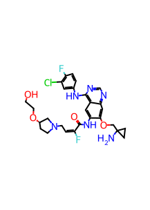 NC1(COc2cc3ncnc(Nc4ccc(F)c(Cl)c4)c3cc2NC(=O)/C(F)=C\CN2CC[C@@H](OCCO)C2)CC1